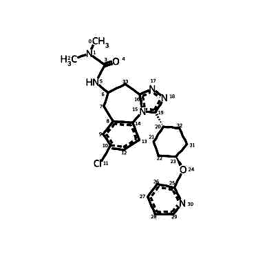 CN(C)C(=O)NC1Cc2cc(Cl)ccc2-n2c(nnc2[C@H]2CC[C@H](Oc3ccccn3)CC2)C1